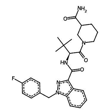 CC(C)(C)[C@H](NC(=O)c1nn(Cc2ccc(F)cc2)c2ccccc12)C(=O)N1CCCC(C(N)=O)C1